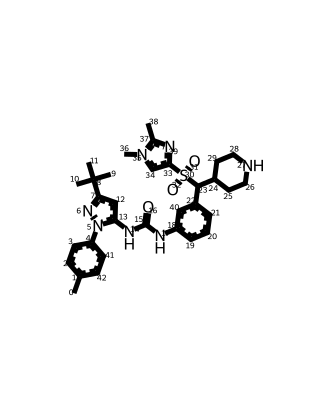 Cc1ccc(-n2nc(C(C)(C)C)cc2NC(=O)Nc2cccc(C(C3CCNCC3)S(=O)(=O)c3cn(C)c(C)n3)c2)cc1